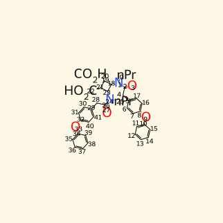 CCCN(C(=O)Cc1ccc(Oc2ccccc2)cc1)[C@H]1[C@@H](C(=O)O)[C@H](C(=O)O)[C@@H]1N(CCC)C(=O)Cc1ccc(Oc2ccccc2)cc1